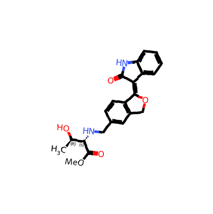 COC(=O)[C@@H](NCc1ccc2c(c1)COC2=C1C(=O)Nc2ccccc21)[C@@H](C)O